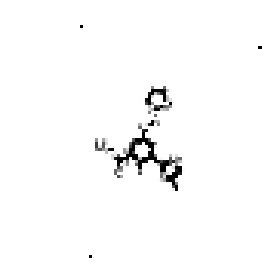 Cc1cnc(-c2cc(OC[C@@H]3CCCO3)cc(C(=O)[O-])c2F)s1.[Li+]